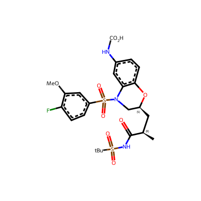 COc1cc(S(=O)(=O)N2C[C@H](C[C@@H](C)C(=O)NS(=O)(=O)C(C)(C)C)Oc3ccc(NC(=O)O)cc32)ccc1F